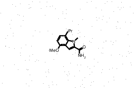 COc1ccc(C(C)C)c2c1cc(C(N)=O)n2C